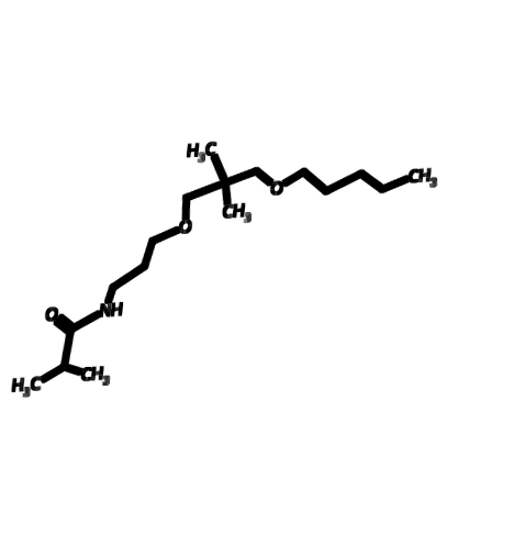 CCCCCOCC(C)(C)COCCCNC(=O)C(C)C